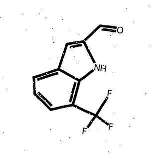 O=Cc1cc2cccc(C(F)(F)F)c2[nH]1